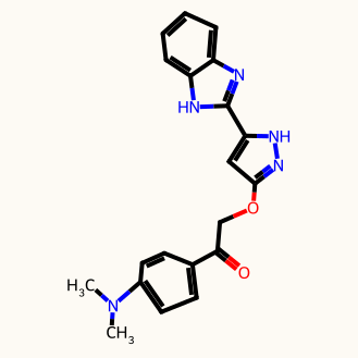 CN(C)c1ccc(C(=O)COc2cc(-c3nc4ccccc4[nH]3)[nH]n2)cc1